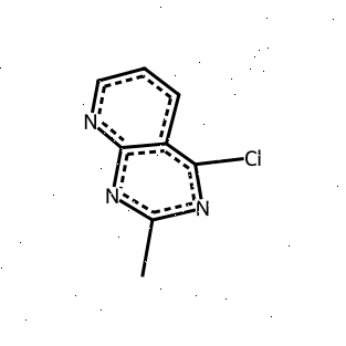 Cc1nc(Cl)c2cccnc2n1